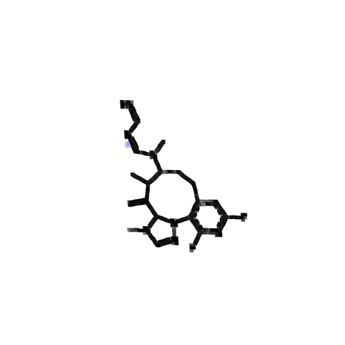 C=C1C(C)C(N(C)/C=N\C=N)CCc2cc(F)nc(F)c2N2N=CN(C)C12